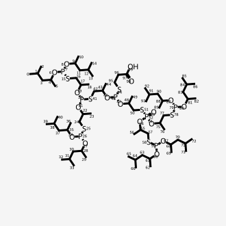 CC(C)CC(C)OP(OC(C)CC(C)C)SCC(C)OP(OC(C)CSP(OC(C)CC(C)C)OC(C)CC(C)C)SCC(C)OP(OC(C)CSP(=O)(OC(C)CSP(OC(C)CC(C)C)OC(C)CC(C)C)OC(C)CSP(OC(C)CC(C)C)OC(C)CC(C)C)SCCC(=O)O